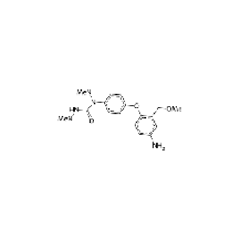 CNNC(=O)N(NC)c1ccc(Oc2ccc(N)cc2COC)cc1